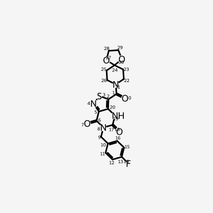 O=C(c1snc2c(=O)n(Cc3ccc(F)cc3)c(=O)[nH]c12)N1CCC2(CC1)OCCO2